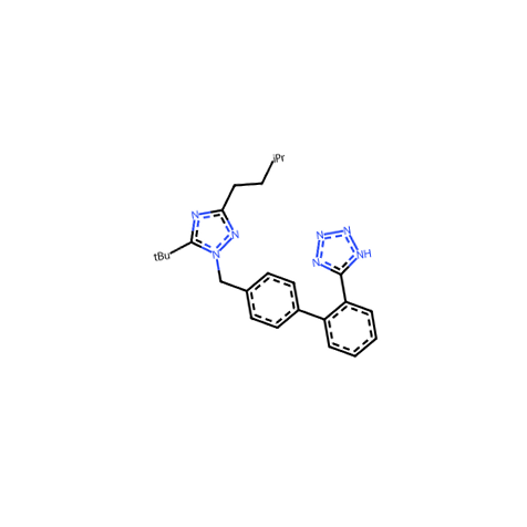 CC(C)CCc1nc(C(C)(C)C)n(Cc2ccc(-c3ccccc3-c3nnn[nH]3)cc2)n1